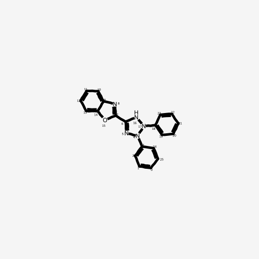 c1ccc(N2N=C(c3nc4ccccc4o3)NN2c2ccccc2)cc1